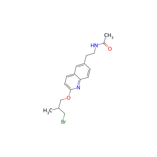 CC(=O)NCCc1ccc2nc(OCC(C)CBr)ccc2c1